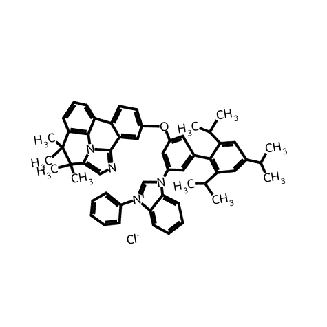 CC(C)c1cc(C(C)C)c(-c2cc(Oc3ccc4c(c3)c3ncc5n3c3c(cccc43)C(C)(C)C5(C)C)cc(-n3c[n+](-c4ccccc4)c4ccccc43)c2)c(C(C)C)c1.[Cl-]